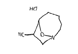 Cl.N#CC1CN2CCCC1O2